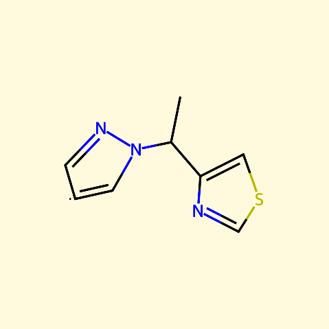 CC(c1cscn1)n1c[c]cn1